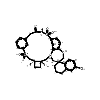 O=C1Cc2cccc(c2)S(=O)(=O)C[C@@H]2CC[C@H]2CN2C[C@@]3(CCCc4cc(Cl)ccc43)COc3ccc(cc32)S(=O)(=O)N1